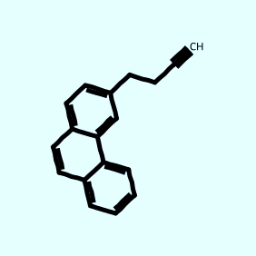 C#CCCc1ccc2ccc3ccccc3c2c1